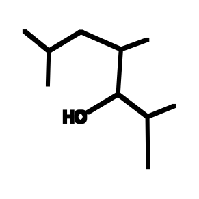 CC(C)CC(C)C(O)C(C)C